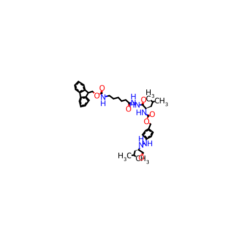 CC(C)C[C@@H](C=O)NNc1ccc(COC(=O)N[C@H](CC(C)C)C(=O)NNC(=O)CCCCCNC(=O)OCC2c3ccccc3-c3ccccc32)cc1